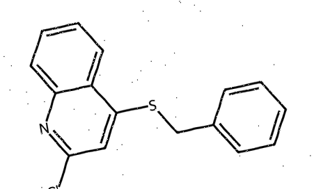 Clc1cc(SCc2ccccc2)c2ccccc2n1